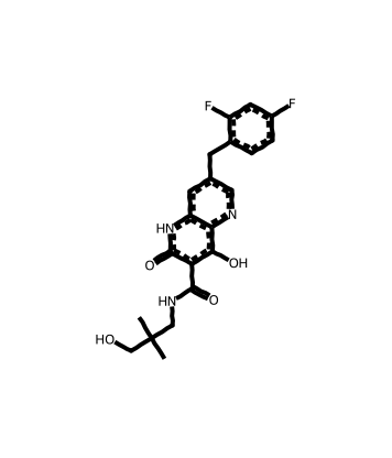 CC(C)(CO)CNC(=O)c1c(O)c2ncc(Cc3ccc(F)cc3F)cc2[nH]c1=O